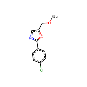 CC(C)(C)OCc1cnc(-c2ccc(Cl)cc2)o1